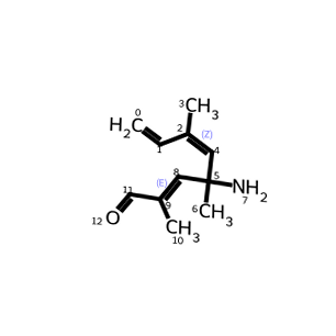 C=C/C(C)=C\C(C)(N)/C=C(\C)C=O